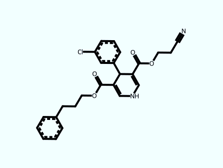 N#CCCOC(=O)C1=CNC=C(C(=O)OCCCc2ccccc2)C1c1cccc(Cl)c1